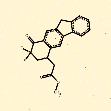 COC(=O)CC1CC(F)(F)C(=O)c2cc3c(cc21)-c1ccccc1C3